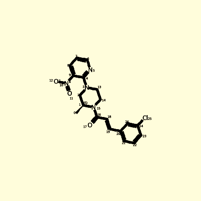 C[C@H]1CN(c2ncccc2[N+](=O)[O-])CCN1C(=O)C=Cc1cccc(Cl)c1